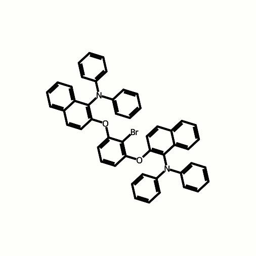 Brc1c(Oc2ccc3ccccc3c2N(c2ccccc2)c2ccccc2)cccc1Oc1ccc2ccccc2c1N(c1ccccc1)c1ccccc1